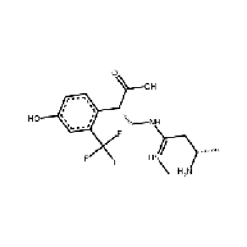 C[SH]=C(C[C@H](C)N)NC[C@@H](C(=O)O)c1ccc(O)cc1C(F)(F)F